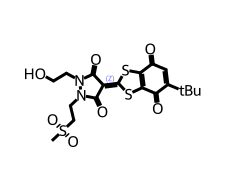 CC(C)(C)C1=CC(=O)C2=C(S/C(=C3/C(=O)N(CCO)N(CCS(C)(=O)=O)C3=O)S2)C1=O